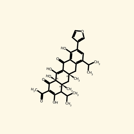 CC(=O)C1=C(O)C(C(C)C)[C@@]2(C)C[C@@]3(C)Cc4c(C(C)C)cc(-c5ccoc5)c(O)c4C(=O)C3=C(O)[C@@]2(O)C1=O